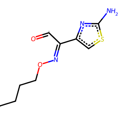 CCCCCON=C([C]=O)c1csc(N)n1